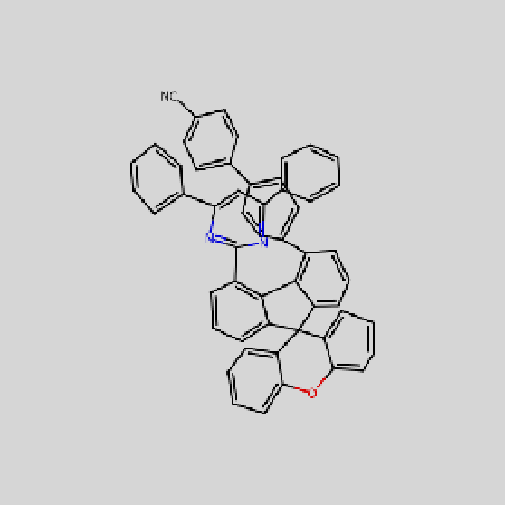 N#Cc1ccc(-c2ccc(-c3cccc4c3-c3c(-c5nc(-c6ccccc6)cc(-c6ccccc6)n5)cccc3C43c4ccccc4Oc4ccccc43)cc2)cc1